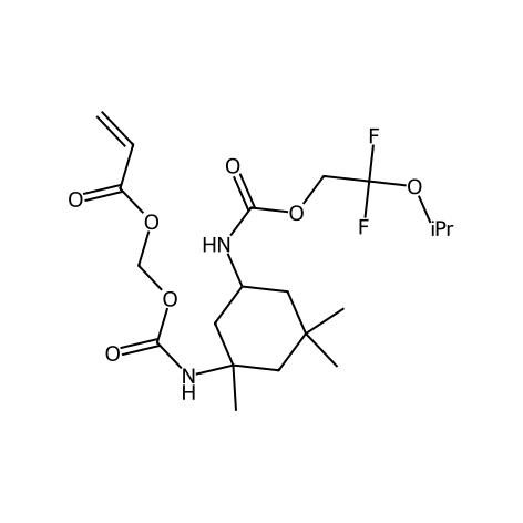 C=CC(=O)OCOC(=O)NC1(C)CC(NC(=O)OCC(F)(F)OC(C)C)CC(C)(C)C1